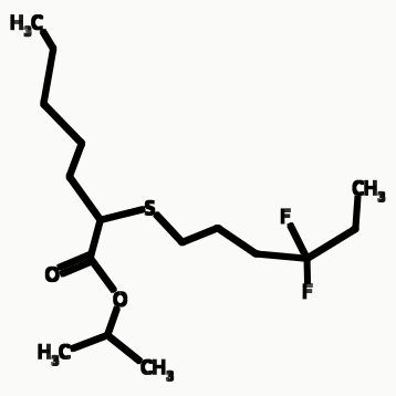 CCCCCC(SCCCC(F)(F)CC)C(=O)OC(C)C